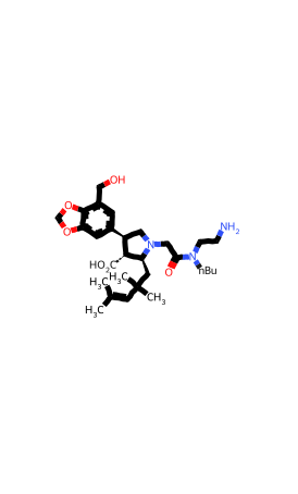 CCCCN(CCN)C(=O)CN1C[C@H](c2cc(CO)c3c(c2)OCO3)[C@@H](C(=O)O)[C@@H]1CC(C)(C)C=C(C)C